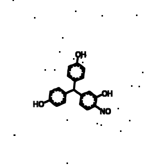 O=Nc1ccc(C(c2ccc(O)cc2)c2ccc(O)cc2)cc1O